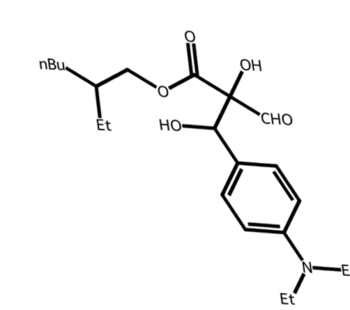 CCCCC(CC)COC(=O)C(O)(C=O)C(O)c1ccc(N(CC)CC)cc1